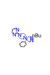 CCCCN1CC(c2ccccc2)(N2CCN(c3ncccn3)CC2)C=N1